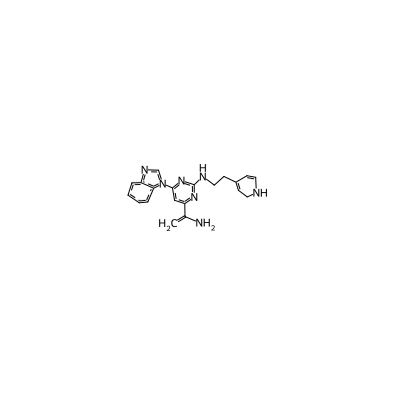 C=C(N)c1cc(-n2cnc3ccccc32)nc(NCCC2=CCNC=C2)n1